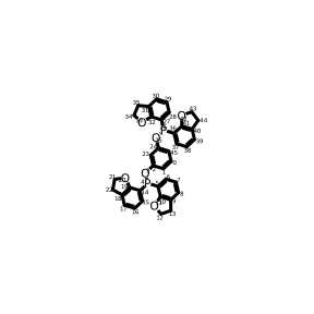 c1cc(OP(c2cccc3c2OCC3)c2cccc3c2OCC3)cc(OP(c2cccc3c2OCC3)c2cccc3c2OCC3)c1